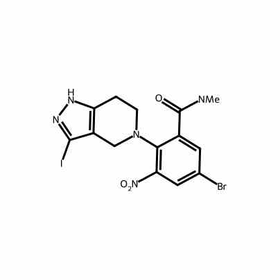 CNC(=O)c1cc(Br)cc([N+](=O)[O-])c1N1CCc2[nH]nc(I)c2C1